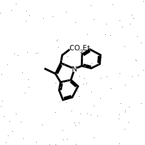 CCOC(=O)Cc1c(C)c2ccccc2n1-c1ccccc1